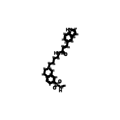 CNS(=O)(=O)c1ccc2c(c1)CN(CCCCNC(=O)/C=C/c1ccc3[nH]ccc3c1)CC2